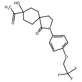 CC(=O)C1(O)CCC2(CCN(c3ccc(OCC(F)(F)F)cc3)C2=O)CC1